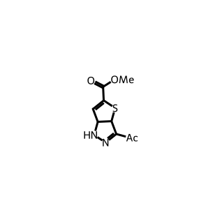 COC(=O)C1=CC2NN=C(C(C)=O)C2S1